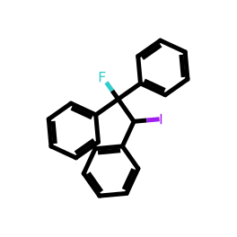 FC(c1ccccc1)(c1ccccc1)C(I)c1ccccc1